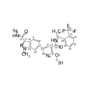 [2H]COc1ncc(-c2ccc3c(C(=O)N[2H])nn(C)c3c2)cc1C(=O)N[C@H](C)c1ccccc1C(F)(F)F